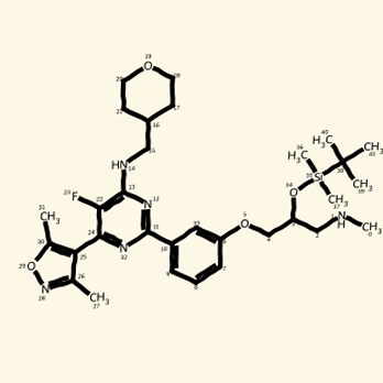 CNCC(COc1cccc(-c2nc(NCC3CCOCC3)c(F)c(-c3c(C)noc3C)n2)c1)O[Si](C)(C)C(C)(C)C